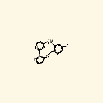 CCc1cc(F)ccc1COc1ccnn1-c1cc(C#N)ccn1